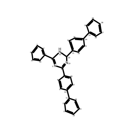 c1ccc(C2=NC(c3ccc(-c4ccccc4)cc3)=NC(c3ccc(-c4ccccc4)cc3)N2)cc1